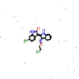 O=C1Nc2cc(Br)ccc2/C1=C1/Nc2ccccc2/C1=N\OCCBr